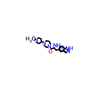 CN1CCC(N2CCCN(C(=O)C(N)Cc3ccc4[nH]ncc4c3)CC2)CC1